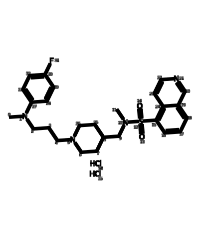 CN(CCCN1CCC(CN(C)S(=O)(=O)c2cccc3cnccc23)CC1)c1ccc(F)cc1.Cl.Cl